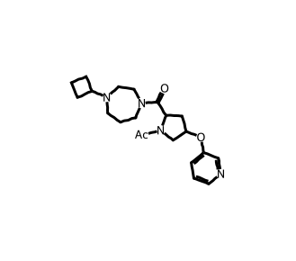 CC(=O)N1CC(Oc2cccnc2)CC1C(=O)N1CCCN(C2CCC2)CC1